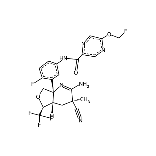 C[C@]1(C#N)C[C@@H]2[C@@H](C(F)(F)F)OC[C@]2(c2cc(NC(=O)c3cnc(OCF)cn3)ccc2F)N=C1N